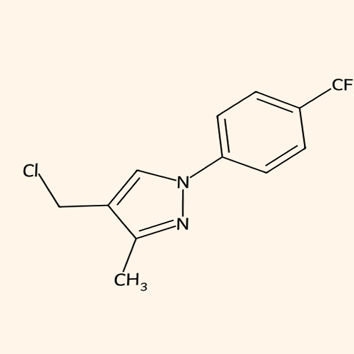 Cc1nn(-c2ccc(C(F)(F)F)cc2)cc1CCl